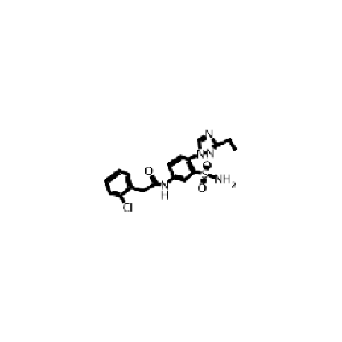 CCc1ncn(-c2ccc(NC(=O)Cc3ccccc3Cl)cc2S(N)(=O)=O)n1